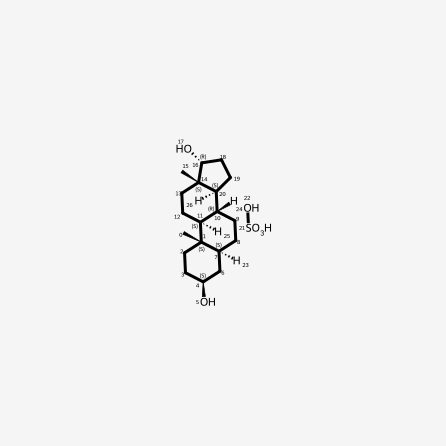 C[C@]12CC[C@H](O)C[C@@H]1CC[C@@H]1[C@@H]2CC[C@]2(C)[C@H](O)CC[C@@H]12.O=S(=O)(O)O